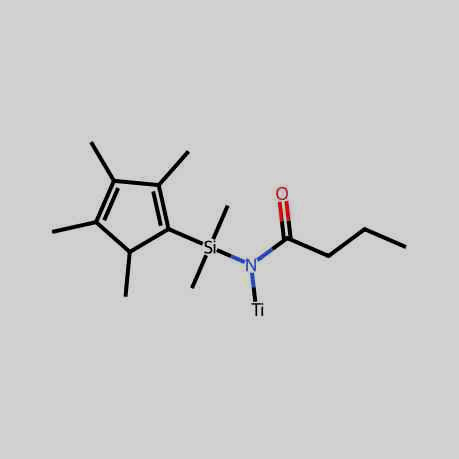 CCCC(=O)[N]([Ti])[Si](C)(C)C1=C(C)C(C)=C(C)C1C